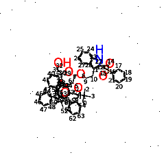 CC(C)(C)[Si](O[C@H]1[C@@H](OCCc2c(S(=O)(=O)c3ccccc3)[nH]c3ccccc23)O[C@H](CO)C[C@@H]1O[Si](c1ccccc1)(c1ccccc1)C(C)(C)C)(c1ccccc1)c1ccccc1